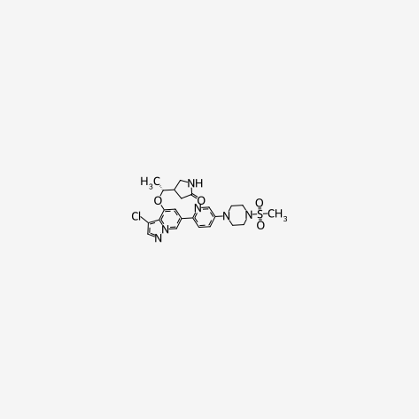 C[C@@H](Oc1cc(-c2ccc(N3CCN(S(C)(=O)=O)CC3)cn2)cn2ncc(Cl)c12)C1CNC(=O)C1